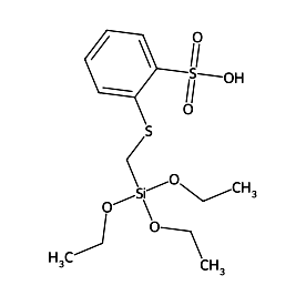 CCO[Si](CSc1ccccc1S(=O)(=O)O)(OCC)OCC